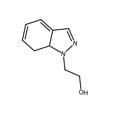 OCCN1N=CC2=CC=CCC21